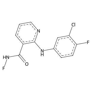 O=C(NF)c1cccnc1Nc1ccc(F)c(Cl)c1